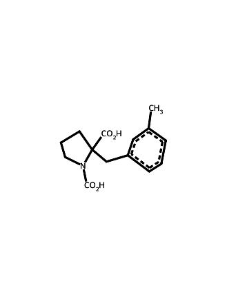 Cc1cccc(CC2(C(=O)O)CCCN2C(=O)O)c1